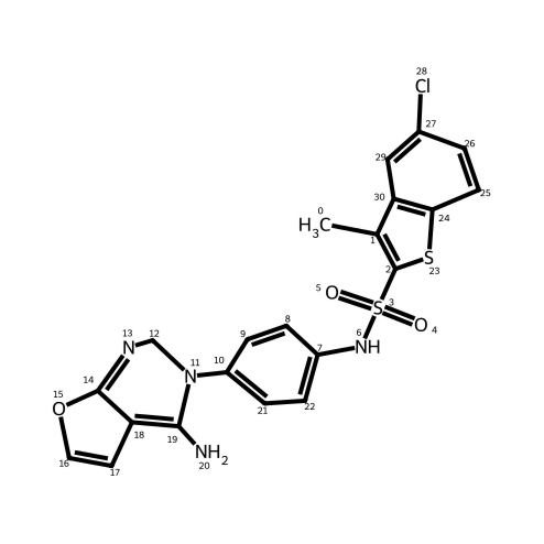 Cc1c(S(=O)(=O)Nc2ccc(N3CN=c4occc4=C3N)cc2)sc2ccc(Cl)cc12